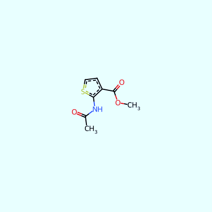 COC(=O)c1ccsc1NC(C)=O